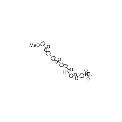 COc1cccc(C(=O)Oc2ccc(-c3ccc(OC(=O)c4ccc5cc(C(=O)Nc6cccc(OC(=O)c7ccc(N8C(=O)C=C(C)C8=O)cc7)c6)ccc5c4)cc3)cc2)c1